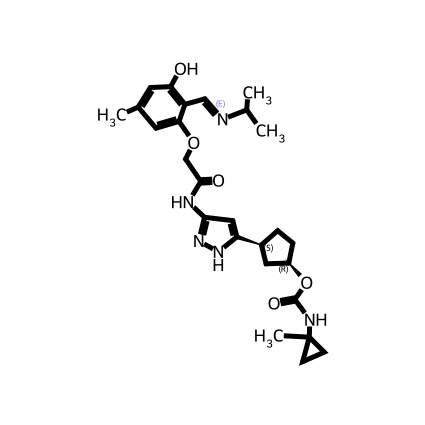 Cc1cc(O)c(/C=N/C(C)C)c(OCC(=O)Nc2cc([C@H]3CC[C@@H](OC(=O)NC4(C)CC4)C3)[nH]n2)c1